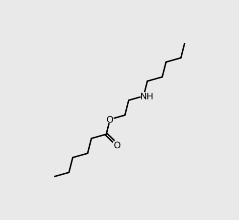 CCCCCNCCOC(=O)CCCCC